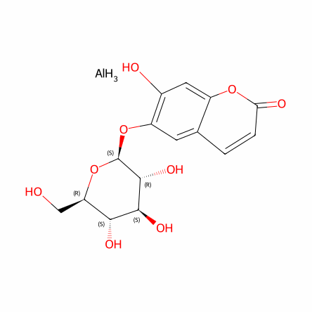 O=c1ccc2cc(O[C@@H]3O[C@H](CO)[C@@H](O)[C@H](O)[C@H]3O)c(O)cc2o1.[AlH3]